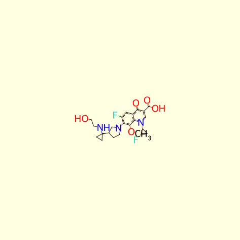 COc1c(N2CC[C@@H](C3(NCCO)CC3)C2)c(F)cc2c(=O)c(C(=O)O)cn([C@@H]3C[C@@H]3F)c12